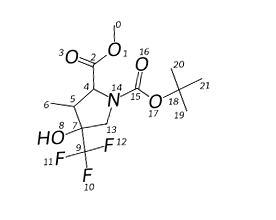 COC(=O)C1C(C)C(O)(C(F)(F)F)CN1C(=O)OC(C)(C)C